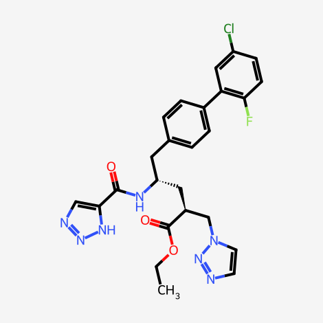 CCOC(=O)[C@@H](C[C@@H](Cc1ccc(-c2cc(Cl)ccc2F)cc1)NC(=O)c1cnn[nH]1)Cn1ccnn1